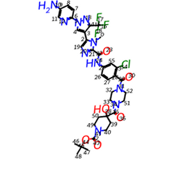 Cn1c(-c2cn(-c3ccc(N)cn3)nc2C(F)(F)F)cnc1C(=O)Nc1ccc(C(=O)N2CCN(C(=O)C3(O)CCN(C(=O)OC(C)(C)C)CC3)CC2)c(Cl)c1